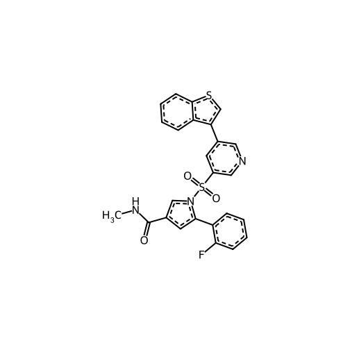 CNC(=O)c1cc(-c2ccccc2F)n(S(=O)(=O)c2cncc(-c3csc4ccccc34)c2)c1